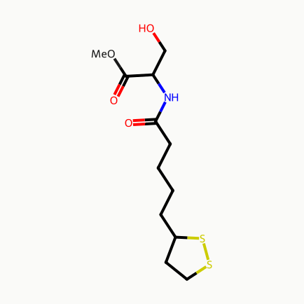 COC(=O)C(CO)NC(=O)CCCCC1CCSS1